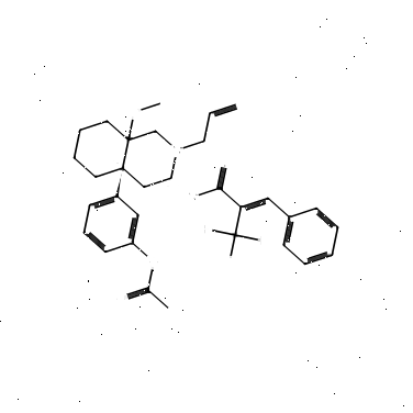 C=CCN1CC2(OC)CCCC[C@@]2(c2cccc(OC(C)=O)c2)C[C@H]1NC(=O)C(=Cc1ccccc1)C(F)(F)F